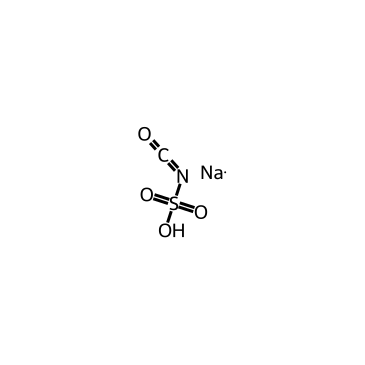 O=C=NS(=O)(=O)O.[Na]